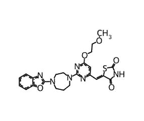 COCCOc1cc(/C=C2\SC(=O)NC2=O)nc(N2CCCN(c3nc4ccccc4o3)CC2)n1